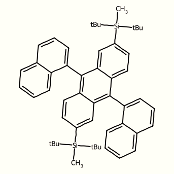 CC(C)(C)[Si](C)(c1ccc2c(-c3cccc4ccccc34)c3cc([Si](C)(C(C)(C)C)C(C)(C)C)ccc3c(-c3cccc4ccccc34)c2c1)C(C)(C)C